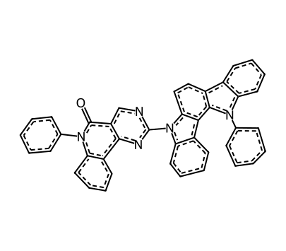 O=c1c2cnc(-n3c4ccccc4c4c3ccc3c5ccccc5n(-c5ccccc5)c34)nc2c2ccccc2n1-c1ccccc1